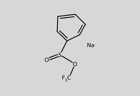 O=S(OC(F)(F)F)c1ccccc1.[Na]